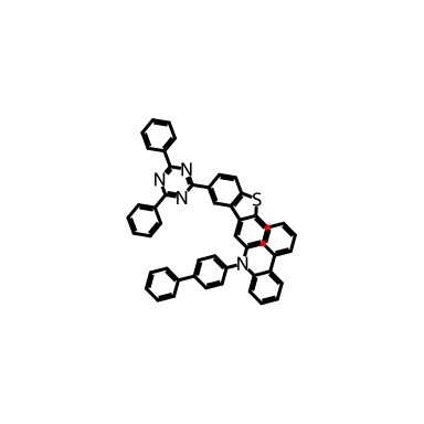 c1ccc(-c2ccc(N(c3ccc4sc5ccc(-c6nc(-c7ccccc7)nc(-c7ccccc7)n6)cc5c4c3)c3ccccc3-c3ccccc3)cc2)cc1